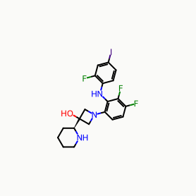 OC1([C@@H]2CCCCN2)CN(c2ccc(F)c(F)c2Nc2ccc(I)cc2F)C1